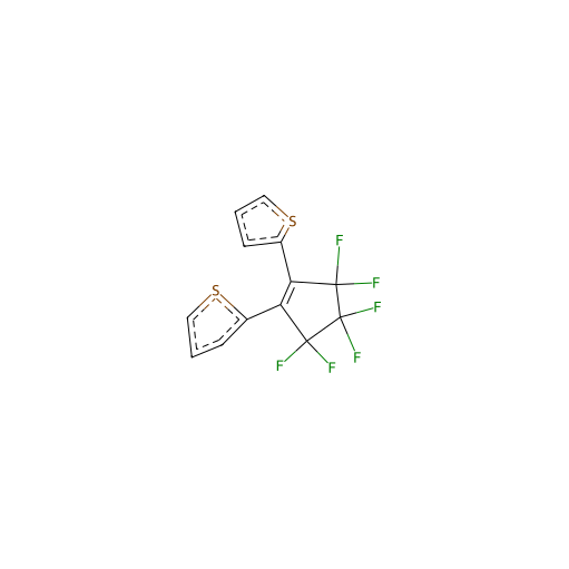 FC1(F)C(c2cccs2)=C(c2cccs2)C(F)(F)C1(F)F